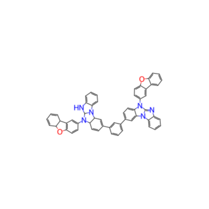 C1=CC2Oc3ccc(N4C5C=CC(c6cccc(-c7ccc8c(c7)n7c9ccccc9nc7n8-c7ccc8oc9ccccc9c8c7)c6)=CC5N5c6ccccc6NC45)cc3C2C=C1